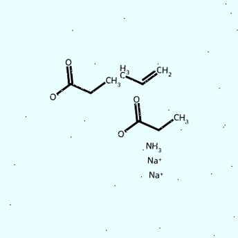 C=CC.CCC(=O)[O-].CCC(=O)[O-].N.[Na+].[Na+]